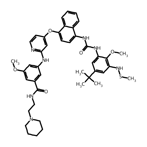 COc1cc(Nc2cc(Oc3ccc(NC(=O)Nc4cc(C(C)(C)C)cc(NSC)c4OC)c4ccccc34)ccn2)cc(C(=O)NCCN2CCCCC2)c1